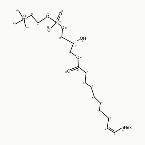 CCCCCC/C=C\CCCCCCCC(=O)OC[C@@H](O)COP(=O)([O-])OCC[N+](C)(C)C